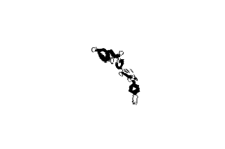 O=C(NC1CCN(C(=O)c2cc3cc(Cl)ccc3o2)CC1)c1nnc(-c2ccc(Cl)cc2)o1